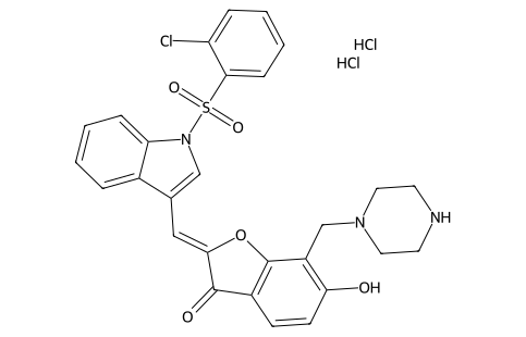 Cl.Cl.O=C1C(=Cc2cn(S(=O)(=O)c3ccccc3Cl)c3ccccc23)Oc2c1ccc(O)c2CN1CCNCC1